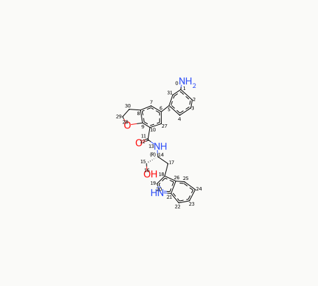 Nc1cccc(-c2cc3c(c(C(=O)N[C@@H](CO)Cc4c[nH]c5ccccc45)c2)OCC3)c1